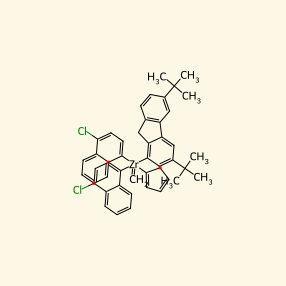 [CH2]=[Zr]([C]1=CC=CC1)([c]1cc(C(C)(C)C)cc2c1Cc1ccc(C(C)(C)C)cc1-2)([c]1ccc(Cl)c2ccccc12)[c]1ccc(Cl)c2ccccc12